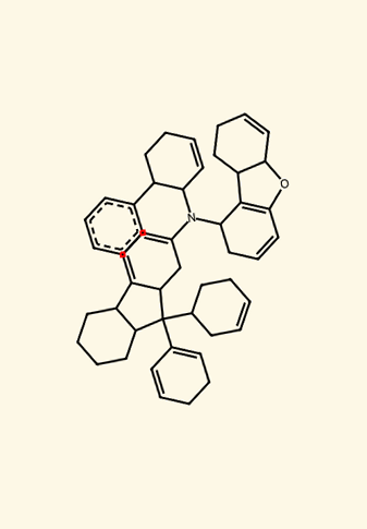 C1=CC(C2(C3CC=CCC3)C3CC(N(C4CC=CC5=C4C4CCC=CC4O5)C4C=CCCC4c4ccccc4)=CC=C3C3CCCCC32)=CCC1